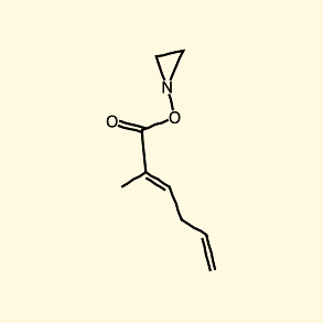 C=CCC=C(C)C(=O)ON1CC1